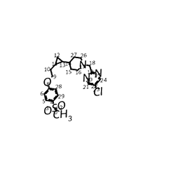 CS(=O)(=O)c1ccc(OCCC2CC2C2CCN(Cc3ncc(Cl)cn3)CC2)cc1